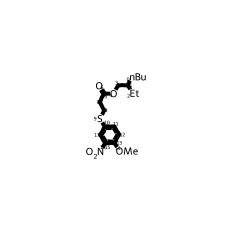 CCCCC(CC)COC(=O)CCSc1ccc(OC)c([N+](=O)[O-])c1